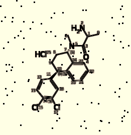 CC(N)C(=O)N(C)[C@H]1CC[C@H](c2ccc(Cl)c(Cl)c2)c2ccccc21.Cl